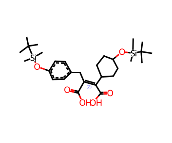 CC(C)(C)[Si](C)(C)Oc1ccc(C/C(C(=O)O)=C(/C(=O)O)C2CCC(O[Si](C)(C)C(C)(C)C)CC2)cc1